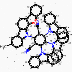 Cc1ccc2c(c1)c1ccc3c4ccccc4oc3c1n2-c1c(C#N)c(-n2c3ccccc3c3ccccc32)c(-n2c3ccccc3c3ccccc32)c(-n2c3ccccc3c3ccccc32)c1C#N